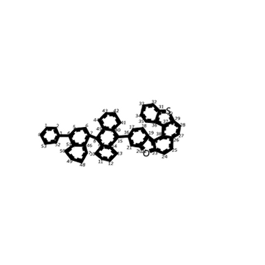 c1ccc(-c2ccc(-c3c4ccccc4c(-c4ccc5c(c4)oc4ccc6ccc7sc8ccccc8c7c6c45)c4ccccc34)c3ccccc23)cc1